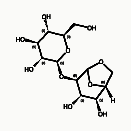 OC[C@H]1O[C@@H](O[C@H]2C3OC[C@@H](O3)[C@@H](O)[C@@H]2O)[C@H](O)[C@@H](O)[C@@H]1O